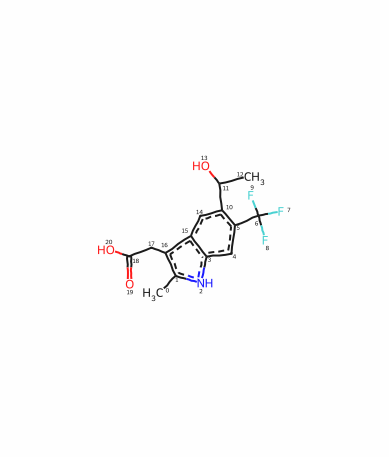 Cc1[nH]c2cc(C(F)(F)F)c(C(C)O)cc2c1CC(=O)O